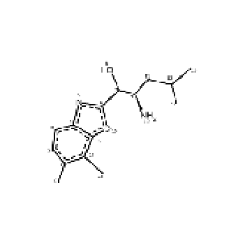 Cc1ccc2nc(C(O)[C@H](N)CC(C)C)oc2c1C